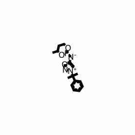 CC1CCOP([N-]c2c[n+](C(C)(C)c3ccccc3)no2)O1